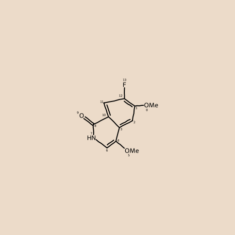 COc1cc2c(OC)c[nH]c(=O)c2cc1F